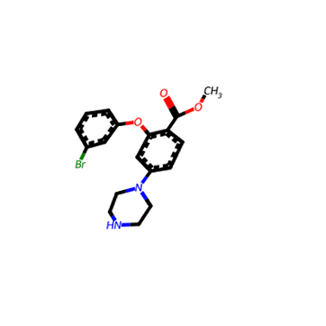 COC(=O)c1ccc(N2CCNCC2)cc1Oc1cccc(Br)c1